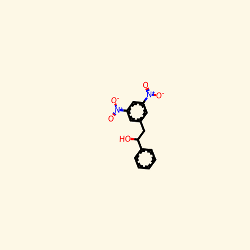 O=[N+]([O-])c1cc(CC(O)c2ccccc2)cc([N+](=O)[O-])c1